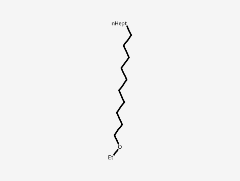 [CH2]CCCCCCCCCCCCCCCCOCC